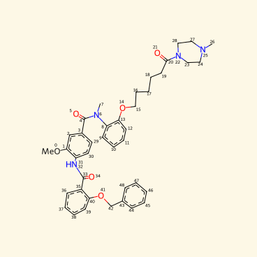 COc1cc(C(=O)N(C)c2ccccc2OCCCCCC(=O)N2CCN(C)CC2)ccc1NC(=O)c1ccccc1OCc1ccccc1